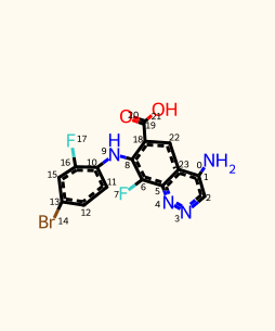 Nc1cnnc2c(F)c(Nc3ccc(Br)cc3F)c(C(=O)O)cc12